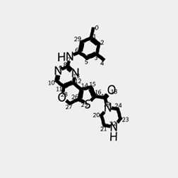 Cc1cc(C)cc(Nc2ncc3c(n2)-c2cc(C(=O)N4CCNCC4)sc2CO3)c1